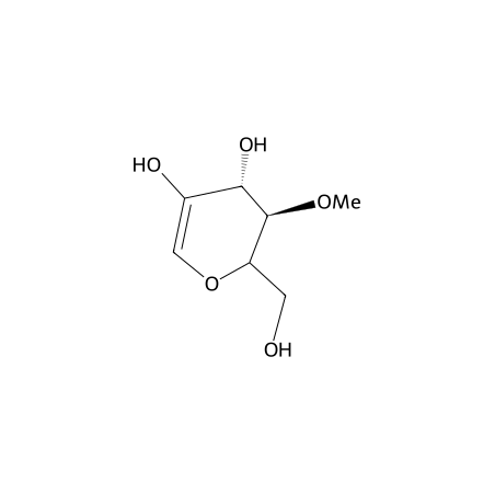 CO[C@H]1C(CO)OC=C(O)[C@@H]1O